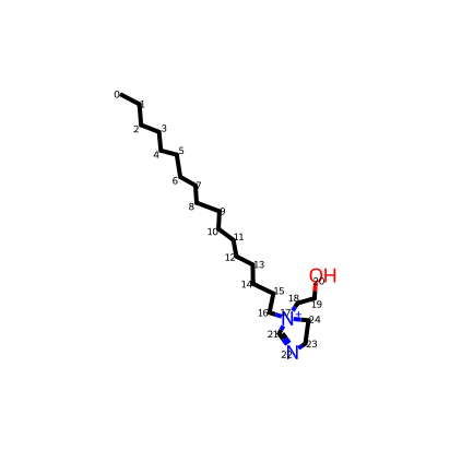 CCCCCCCCCCCCCCCCC[N+]1(CCO)C=NCC1